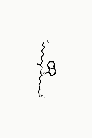 CCCCCCCCOC(=O)CCCCCCC.Cc1cccc2ccccc12